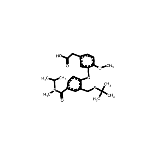 COc1ccc(CC(=O)O)cc1Oc1ccc(C(=O)N(C)C(C)C)cc1CSC(C)(C)C